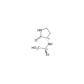 CC[C@H](N[C@H]1CCNC1=O)C(=O)O